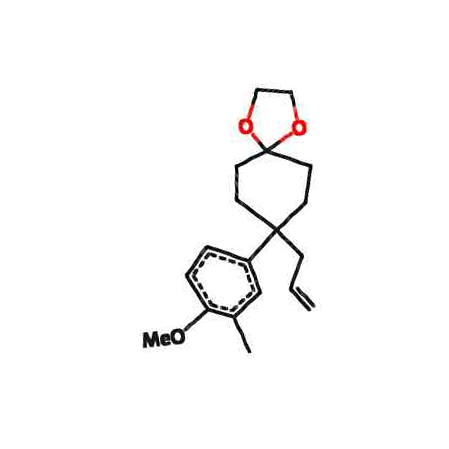 C=CCC1(c2ccc(OC)c(C)c2)CCC2(CC1)OCCO2